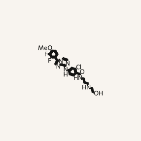 COc1ccc(-c2cnc3c(Nc4ccc(C(=O)NCCCNCCO)c(Cl)c4)nccn23)c(F)c1F